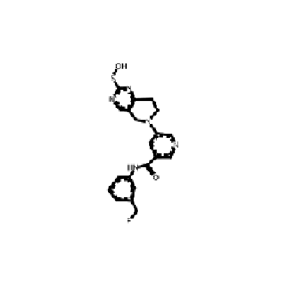 O=C(Nc1cccc(CF)c1)c1cncc(N2CCc3nc(SO)ncc3C2)c1